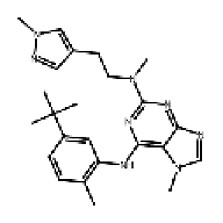 Cc1ccc(C(C)(C)C)cc1Nc1nc(N(C)CCc2cnn(C)c2)nc2ncn(C)c12